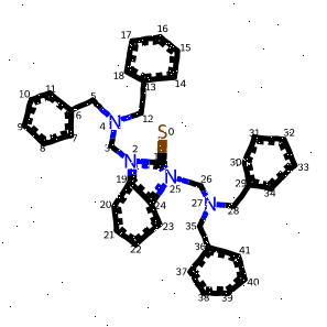 S=c1n(CN(Cc2ccccc2)Cc2ccccc2)c2ccccc2n1CN(Cc1ccccc1)Cc1ccccc1